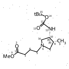 COC(=O)CCCN1C[C@@H](C)[C@@H](NC(=O)OC(C)(C)C)C1